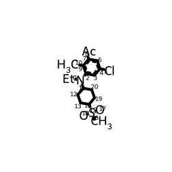 CCN(c1cc(Cl)cc(C(C)=O)c1C)C1CCC(S(C)(=O)=O)CC1